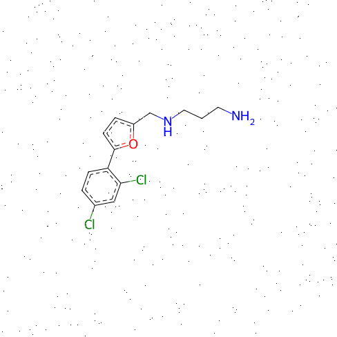 NCCCNCc1ccc(-c2ccc(Cl)cc2Cl)o1